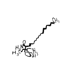 CCCCCCC=CCCCCCCCCCCC(C(N)=O)C(C)(CO)CCC